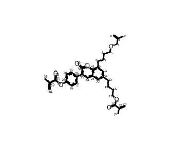 C=C(C)COCCCCc1cc(CCCCOC(=O)C(=C)C)cc2cc(-c3ccc(OC(=O)C(=C)C)cc3)c(=O)oc12